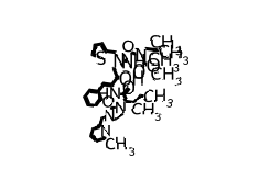 CCC(C)C(C(=O)NC(Cc1ccccc1)C(O)CN(Cc1cccs1)NC(=O)N(CC(C)(C)C)C(=O)OC)N1CCN(Cc2cccc(C)n2)C1=O